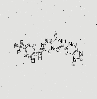 CC(NC(=O)c1cc2c(cn1)ncn2C)c1cnc(Nc2ccc(C(F)(F)F)cc2Cl)cn1